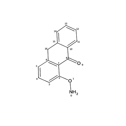 NOc1cccc2c1C(=O)c1ccccc1C2